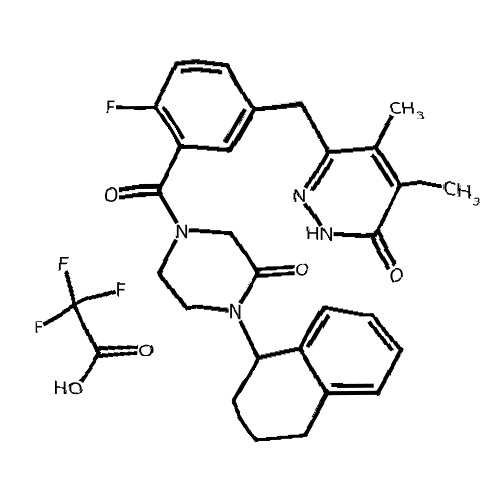 Cc1c(Cc2ccc(F)c(C(=O)N3CCN(C4CCCc5ccccc54)C(=O)C3)c2)n[nH]c(=O)c1C.O=C(O)C(F)(F)F